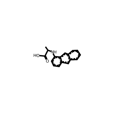 CC(Nc1cccc2cc3ccccc3cc12)C(=O)O